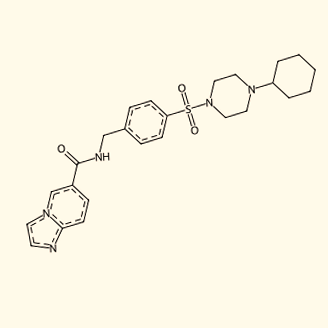 O=C(NCc1ccc(S(=O)(=O)N2CCN(C3CCCCC3)CC2)cc1)c1ccc2nccn2c1